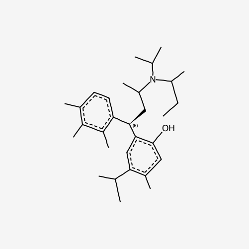 CCC(C)N(C(C)C)C(C)C[C@@H](c1cc(C(C)C)c(C)cc1O)c1ccc(C)c(C)c1C